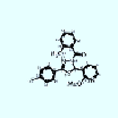 COc1ncccc1C1SC(c2ccc(F)cc2)=NN1C(=O)c1ccccc1C